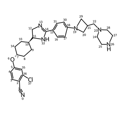 N#Cc1ccc(O[C@H]2CC[C@H](C3CN=C(c4ccc(N5CC(CN6CCNCC6)C5)cc4)N3)CC2)cc1Cl